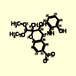 COC(OC)[C@@]1(C)Oc2ccc([N+](=O)[O-])cc2[C@@H](Nc2ccccc2O)[C@@H]1O